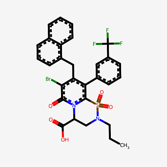 CCCN1CC(C(=O)O)n2c(c(-c3cccc(C(F)(F)F)c3)c(Cc3cccc4ccccc34)c(Br)c2=O)S1(=O)=O